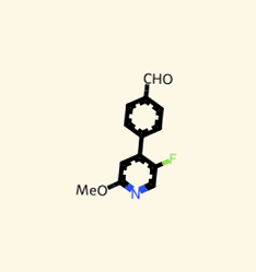 COc1cc(-c2ccc(C=O)cc2)c(F)cn1